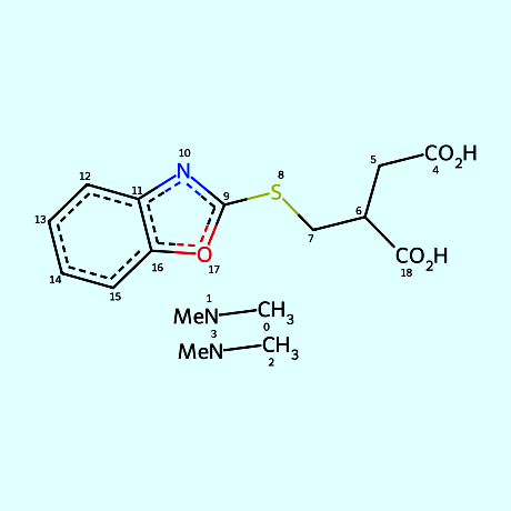 CNC.CNC.O=C(O)CC(CSc1nc2ccccc2o1)C(=O)O